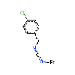 CC(C)N=C=NCc1ccc(Cl)cc1